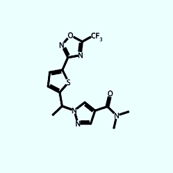 CC(c1ccc(-c2noc(C(F)(F)F)n2)s1)n1cc(C(=O)N(C)C)cn1